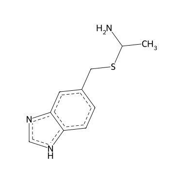 CC(N)SCc1ccc2[nH]cnc2c1